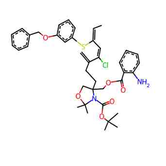 C=C(CCC1(COC(=O)c2ccccc2N)COC(C)(C)N1C(=O)OC(C)(C)C)/C(Cl)=C\C(=C/C)Sc1cccc(OCc2ccccc2)c1